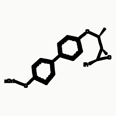 CCCCCCCCOc1ccc(-c2ccc(O[C@H](C)[C@@H]3O[C@H]3C(C)C)cc2)cc1